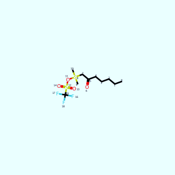 CCCCCC(=O)CS(C)(C)OS(=O)(=O)C(F)(F)F